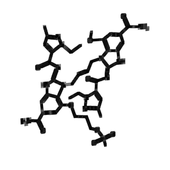 CCn1nc(C)cc1C(=O)/N=c1/[nH]c2cc(C(N)=O)cc(OC)c2n1C/C=C/Cn1/c(=N/C(=O)c2cc(C)nn2CC)[nH]c2cc(C(N)=O)cc(OCCCOS(C)(=O)=O)c21